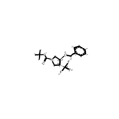 CC(C)(C)OC(=O)N1C[C@@H](C(F)(F)F)[C@H](OCc2ccccc2)C1